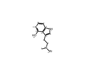 CC(C)N(C)CCc1c[nH]c2ccnc(O)c12